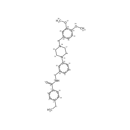 CCc1ccc(C(=O)NCc2cccc(N3CCN(Cc4ccc(OC)c(OC)c4)CC3)c2)cc1